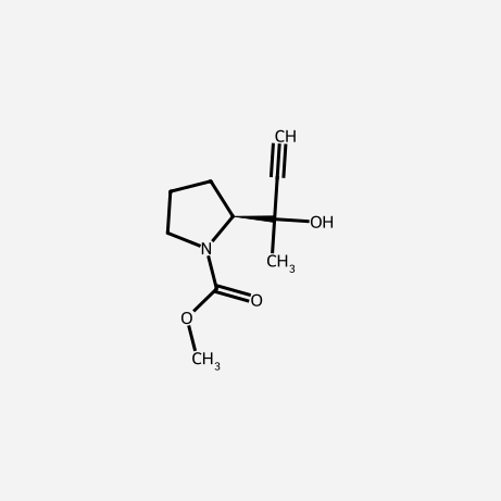 C#CC(C)(O)[C@@H]1CCCN1C(=O)OC